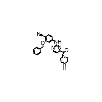 N#Cc1ccc(Nc2nccc(C(=O)N3CCNCC3)n2)cc1OCc1ccccc1